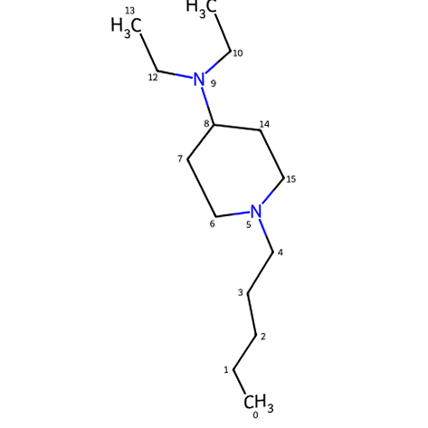 CCCCCN1CCC(N(CC)CC)CC1